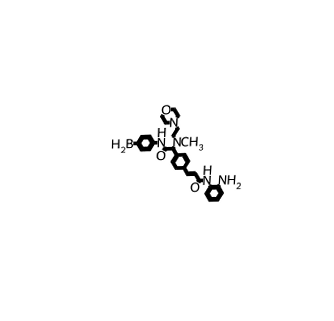 Bc1ccc(NC(=O)C(C2=CCC(/C=C/C(=O)Nc3ccccc3N)C=C2)N(C)CCN2CCOCC2)cc1